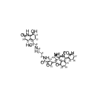 O=C(NCCCCNCC(O)c1ccc(O)c2[nH]c(=O)ccc12)c1cc(COc2cccc([C@H](c3ccccc3)N(C(=O)O)C3CN4CCC3CC4)c2)co1